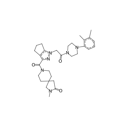 Cc1cccc(N2CCN(C(=O)Cn3nc(C(=O)N4CCC5(CC4)CC(=O)N(C)C5)c4c3CCC4)CC2)c1C